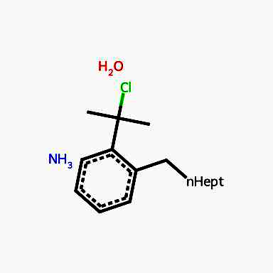 CCCCCCCCc1ccccc1C(C)(C)Cl.N.O